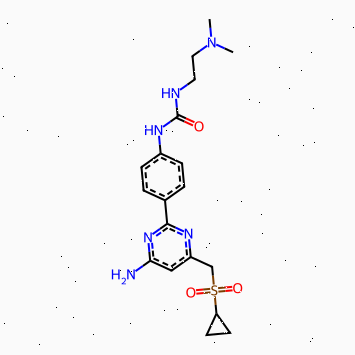 CN(C)CCNC(=O)Nc1ccc(-c2nc(N)cc(CS(=O)(=O)C3CC3)n2)cc1